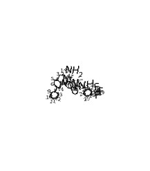 NC[C@@H](Cc1ccc(-c2ccccc2)cc1)[n+]1cc([N-]C(=O)Nc2cccc(C(F)(F)F)c2)on1